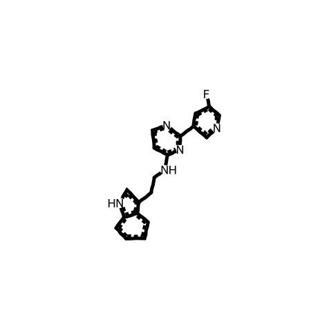 Fc1cncc(-c2nccc(NCCc3c[nH]c4ccccc34)n2)c1